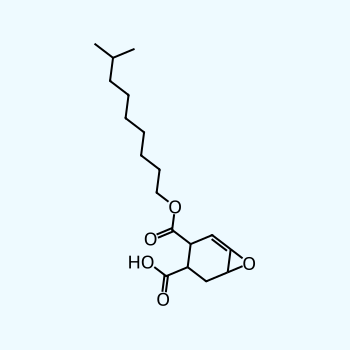 CC(C)CCCCCCCOC(=O)C1C=C2OC2CC1C(=O)O